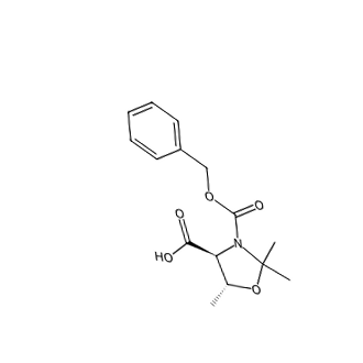 C[C@H]1OC(C)(C)N(C(=O)OCc2ccccc2)[C@@H]1C(=O)O